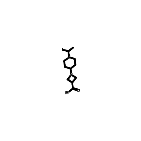 CC(C)C(=O)C1CN(C2CCN(C(C)I)CC2)C1